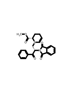 COC(=O)[C@@H]1CCC=CN1C[C@@H](C(=O)c1ccccc1)N1C(=O)c2ccccc2C1=O